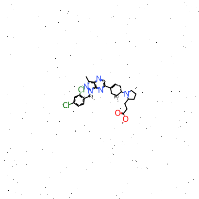 COC(=O)CCC1CCCN1C1CC=C(c2cnc3c(C)nn([C@H](C)c4ccc(Cl)cc4Cl)c3n2)C[C@H]1C